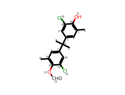 Cc1cc(C(C)(C)c2cc(C)c(OC=O)c(Cl)c2)cc(Cl)c1O